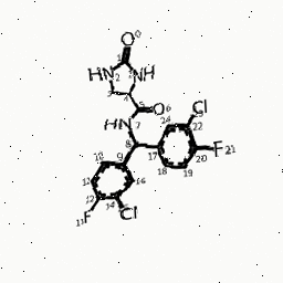 O=C1NCC(C(=O)NC(c2ccc(F)c(Cl)c2)c2ccc(F)c(Cl)c2)N1